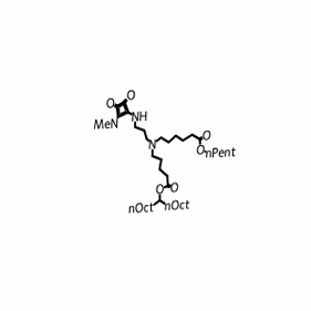 CCCCCCCCC(CCCCCCCC)OC(=O)CCCCN(CCCCCC(=O)OCCCCC)CCCNc1c(NC)c(=O)c1=O